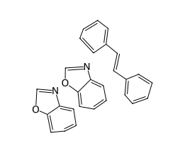 C(=Cc1ccccc1)c1ccccc1.c1ccc2ocnc2c1.c1ccc2ocnc2c1